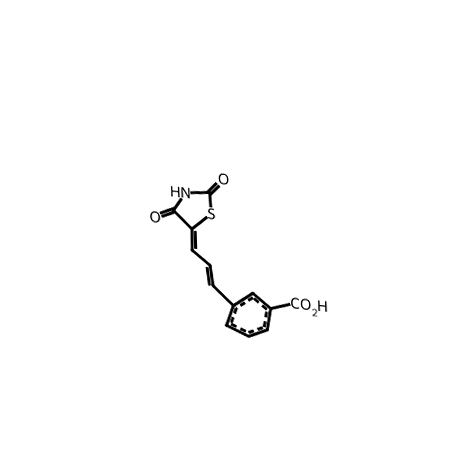 O=C1NC(=O)C(=CC=Cc2cccc(C(=O)O)c2)S1